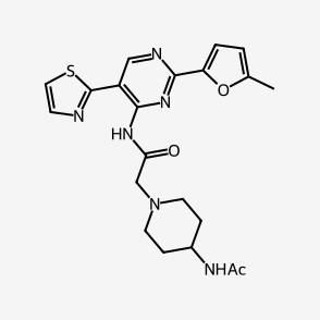 CC(=O)NC1CCN(CC(=O)Nc2nc(-c3ccc(C)o3)ncc2-c2nccs2)CC1